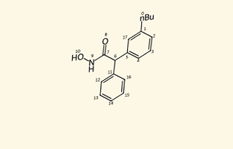 CCCCc1cccc(C(C(=O)NO)c2ccccc2)c1